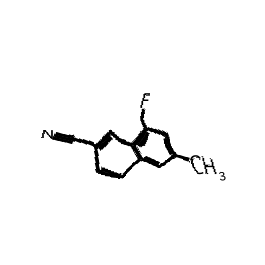 Cc1cc(F)c2cc(C#N)ccc2c1